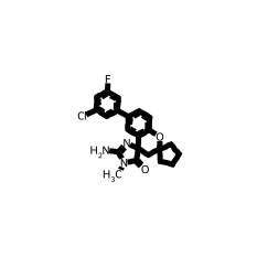 CN1C(=O)C2(CC3(CCCC3)Oc3ccc(-c4cc(F)cc(Cl)c4)cc32)N=C1N